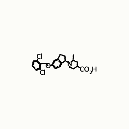 CC1CC(C(=O)O)CCN1C1CCc2cc(OCc3c(Cl)cccc3Cl)ccc21